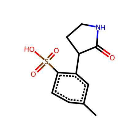 Cc1ccc(S(=O)(=O)O)c(C2CCNC2=O)c1